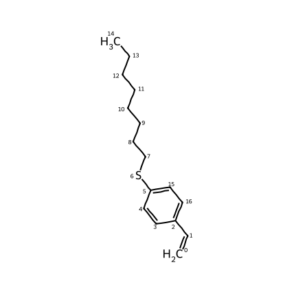 C=Cc1ccc(SCCCCCCCC)cc1